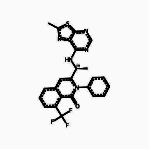 Cc1nc2c(N[C@@H](C)c3cc4cccc(C(F)(F)F)c4c(=O)n3-c3ccccc3)ncnc2s1